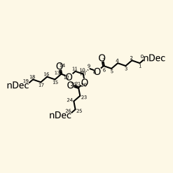 CCCCCCCCCCCCCCCC(=O)OC[C@@H](COC(=O)CCCCCCCCCCCCCC)OC(=O)CCCCCCCCCCCCC